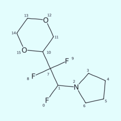 FC(N1CCCC1)C(F)(F)C1COCCO1